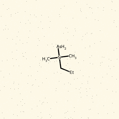 CCC[Si](C)(C)[AsH2]